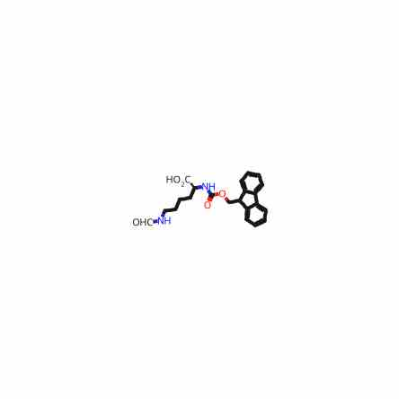 O=CNCCCC[C@H](NC(=O)OCC1c2ccccc2-c2ccccc21)C(=O)O